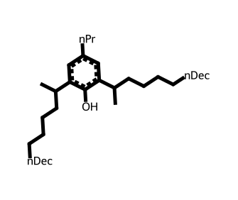 CCCCCCCCCCCCCCC(C)c1cc(CCC)cc(C(C)CCCCCCCCCCCCCC)c1O